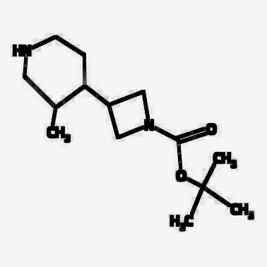 CC1CNCCC1C1CN(C(=O)OC(C)(C)C)C1